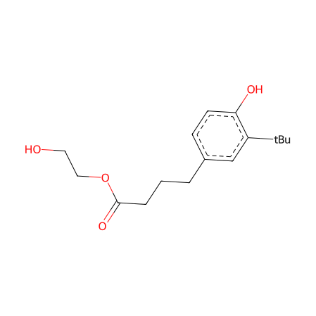 CC(C)(C)c1cc(CCCC(=O)OCCO)ccc1O